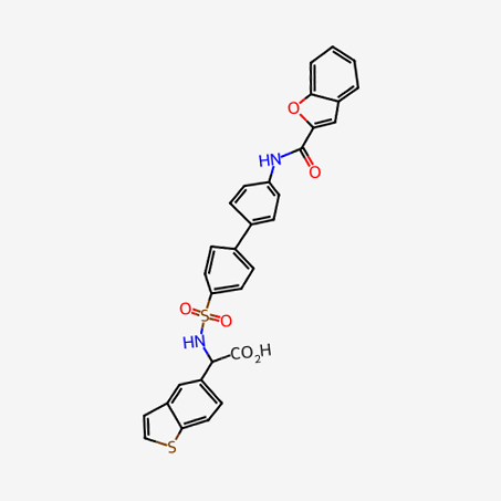 O=C(Nc1ccc(-c2ccc(S(=O)(=O)NC(C(=O)O)c3ccc4sccc4c3)cc2)cc1)c1cc2ccccc2o1